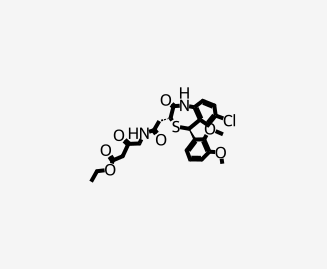 CCOC(=O)CC(=O)CNC(=O)C[C@H]1S[C@H](c2cccc(OC)c2OC)c2cc(Cl)ccc2NC1=O